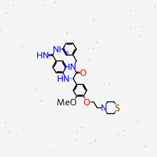 COc1cc([C@H](Nc2ccc(C(=N)N)cc2)C(=O)NCc2ccccc2)ccc1OCCN1CCSCC1